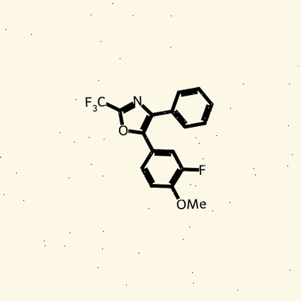 COc1ccc(-c2oc(C(F)(F)F)nc2-c2ccccc2)cc1F